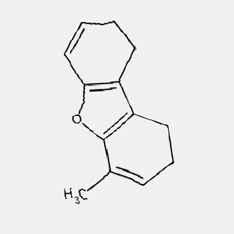 CC1=CCCc2c1oc1c2CCC=C1